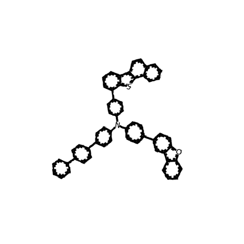 c1ccc(-c2ccc(-c3ccc(N(c4ccc(-c5ccc6oc7ccccc7c6c5)cc4)c4ccc(-c5cccc6c5sc5c7ccccc7ccc65)cc4)cc3)cc2)cc1